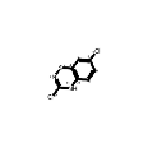 ClC1=NSc2cc(Cl)ccc2N1